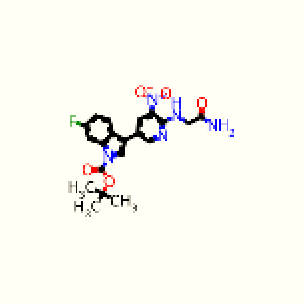 CC(C)(C)OC(=O)n1cc(-c2cnc(NCC(N)=O)c([N+](=O)[O-])c2)c2ccc(F)cc21